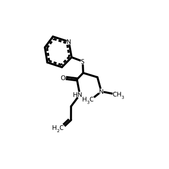 C=CCNC(=O)C(CN(C)C)Sc1ccccn1